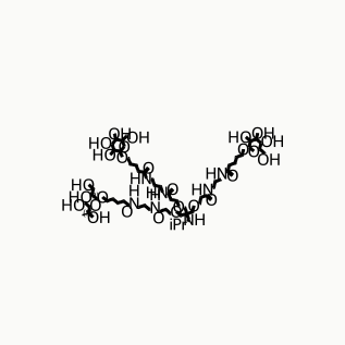 CC(C)NC(COCCC(=O)NCCCNC(=O)CCCCOC1OC(CO)C(O)C(O)C1O)(COCCC(=O)NCCCNC(=O)CCCCOC1OC(CO)C(O)C(O)C1O)COCCC(=O)NCCCNC(=O)CCCCOC(OC(CO)[C@H](C)O)[C@H](O)CO